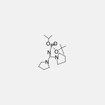 CC(C)OP(=O)(N=C(N1CCCC1)N1CCCC1)OC(C)(C)C